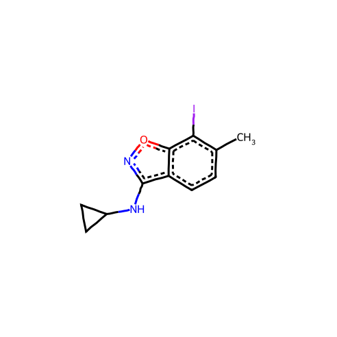 Cc1ccc2c(NC3CC3)noc2c1I